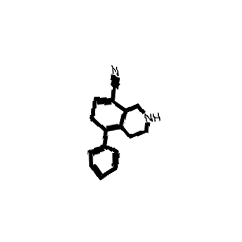 N#CC1=CCC(c2ccccc2)=C2CCNCC12